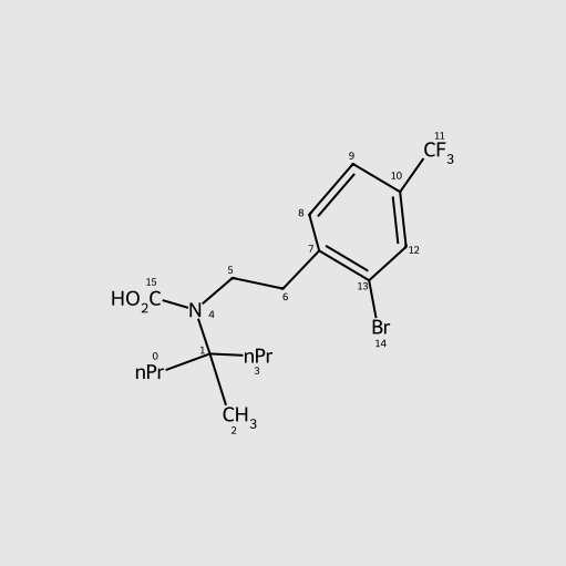 CCCC(C)(CCC)N(CCc1ccc(C(F)(F)F)cc1Br)C(=O)O